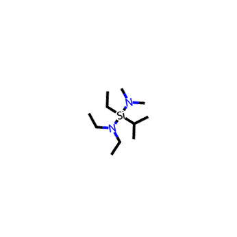 CCN(CC)[Si](CC)(C(C)C)N(C)C